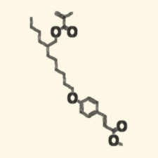 C=C(C)C(=O)OCC(CCCC)CCCCCCOc1ccc(C=CC(=O)OC)cc1